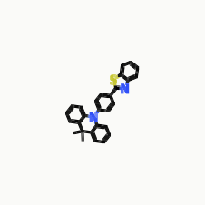 CC1(C)c2ccccc2N(c2ccc(-c3nc4ccccc4s3)cc2)c2ccccc21